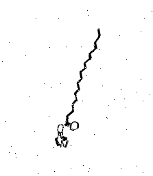 CCCCCCCCCCCCCCCCCC(=O)On1ccnc1